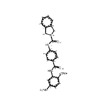 COc1ccc(NC(C)=O)cc1NC(=O)c1ccc(NC(=O)N2Cc3ccccc3C2)cc1